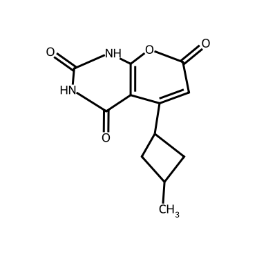 CC1CC(c2cc(=O)oc3[nH]c(=O)[nH]c(=O)c23)C1